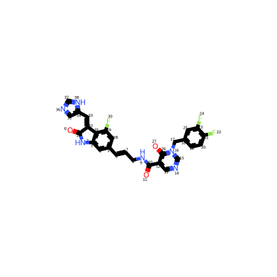 O=C1Nc2cc(/C=C/CNC(=O)c3cncn(Cc4ccc(F)c(F)c4)c3=O)cc(F)c2/C1=C/c1cnc[nH]1